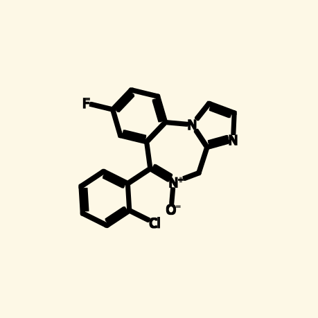 [O-][N+]1=C(c2ccccc2Cl)c2cc(F)ccc2-n2ccnc2C1